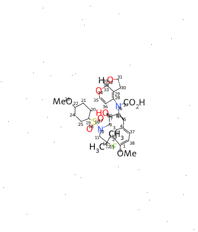 COc1ccc(C[C@@H]([C@H](O)CN(CC(C)(C)F)S(=O)(=O)C2CCC(OC)CC2)N(C(=O)O)C2=C3CCO[C@@H]3OC=C2)cc1